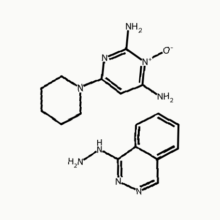 NNc1nncc2ccccc12.Nc1cc(N2CCCCC2)nc(N)[n+]1[O-]